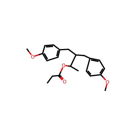 CCC(=O)OC(C)C(Cc1ccc(OC)cc1)Cc1ccc(OC)cc1